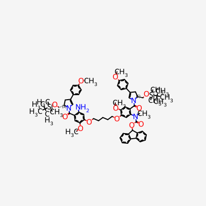 COc1ccc(C2=CN(C(=O)c3cc(OC)c(OCCCCCOc4cc(N(C)C(=O)OC5c6ccccc6-c6ccccc65)c(C(=O)N5C=C(c6ccc(OC)cc6)C[C@H]5CO[Si](C)(C)C(C)(C)C)cc4OC)cc3N)[C@H](CO[Si](C)(C)C(C)(C)C)C2)cc1